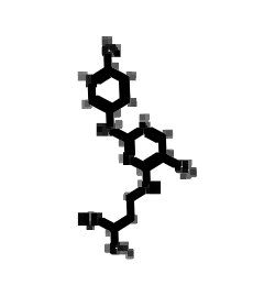 CC(N)CCNc1nc(Nc2ccc(C#N)nc2)ncc1C(F)(F)F